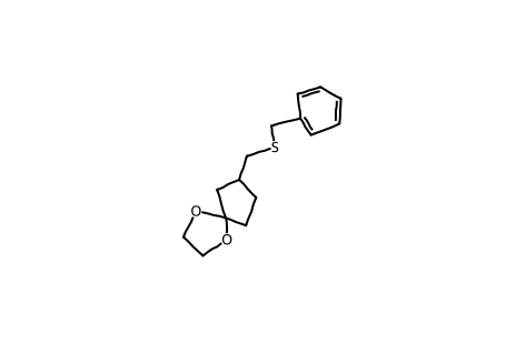 c1ccc(CSCC2CCC3(C2)OCCO3)cc1